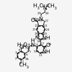 Cc1ccc(C)c(C[C@H](C)Nc2cc[nH]c(=O)c2-c2nc3cc4c(cc3[nH]2)CN(CCN(C)C)C4=O)c1